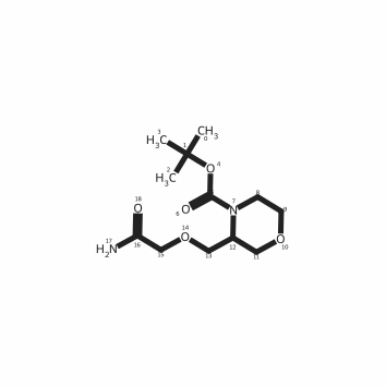 CC(C)(C)OC(=O)N1CCOCC1COCC(N)=O